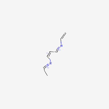 C=C\N=C/C=C\N=C\C